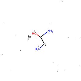 NCC(N)O.[Zn]